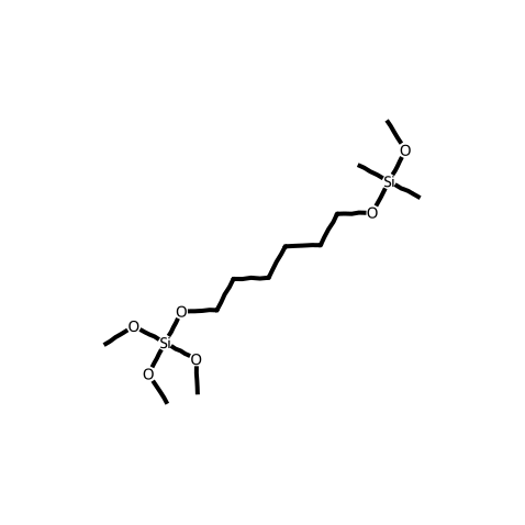 CO[Si](C)(C)OCCCCCCO[Si](OC)(OC)OC